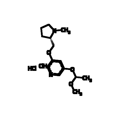 COC(C)Oc1cncc(OC[C@@H]2CCCN2C)c1.Cl.Cl